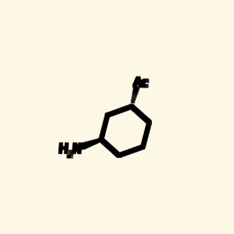 CC(=O)[C@@H]1CCC[C@@H](N)C1